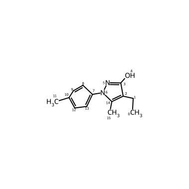 CCc1c(O)nn(-c2ccc(C)cc2)c1C